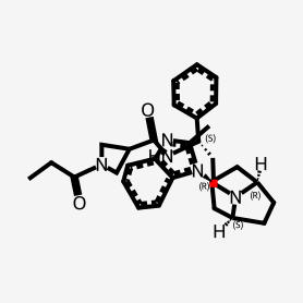 CCC(=O)N1CC(C(=O)N[C@@H](CCN2[C@@H]3CC[C@H]2C[C@@H](n2c(C)nc4ccccc42)C3)c2ccccc2)C1